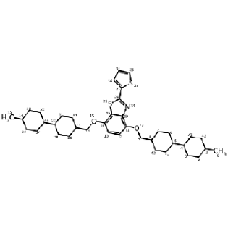 CC1CCC(C2CCC(COc3ccc(OCC4CCC(C5CCC(C)CC5)CC4)c4sc(-c5cccs5)nc34)CC2)CC1